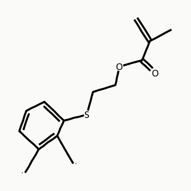 [CH2]c1cccc(SCCOC(=O)C(=C)C)c1[CH2]